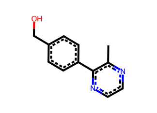 Cc1nccnc1-c1ccc(CO)cc1